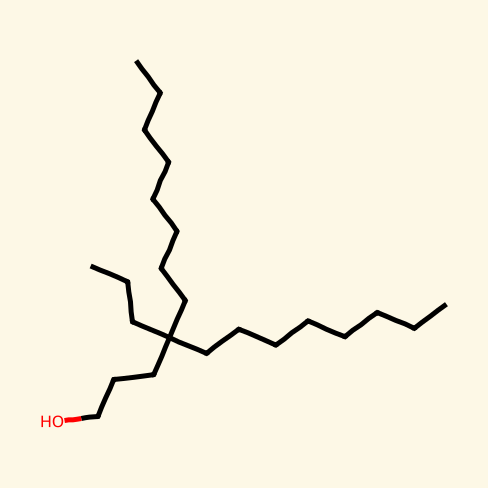 CCCCCCCCC(CCC)(CCCO)CCCCCCCC